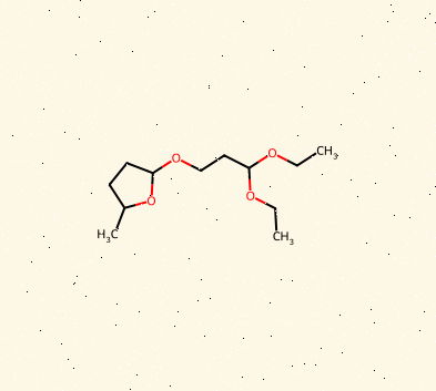 CCOC(CCOC1CCC(C)O1)OCC